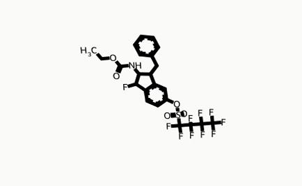 CCOC(=O)NC1C(F)c2ccc(OS(=O)(=O)C(F)(F)C(F)(F)C(F)(F)C(F)(F)F)cc2C1Cc1ccccc1